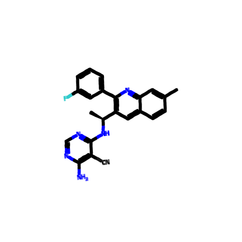 Cc1ccc2cc([C@H](C)Nc3ncnc(N)c3C#N)c(-c3cccc(F)c3)nc2c1